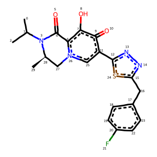 CC(C)N1C(=O)c2c(O)c(=O)c(-c3nnc(Cc4ccc(F)cc4)s3)cn2C[C@H]1C